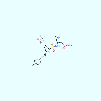 Cc1ccc(C#Cc2ccc(S(=O)(=O)N[C@H](CC(=O)O)C[N+](C)(C)C)s2)cc1.O=C([O-])C(F)(F)F